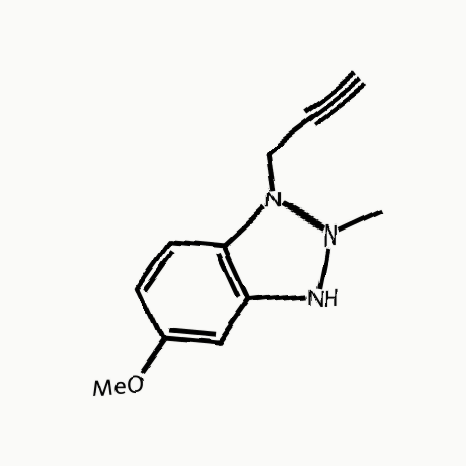 C#CCN1c2ccc(OC)cc2NN1C